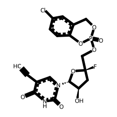 C#Cc1cn([C@@H]2O[C@](F)(COP3(=O)OCc4cc(Cl)ccc4O3)C[C@H]2O)c(=O)[nH]c1=O